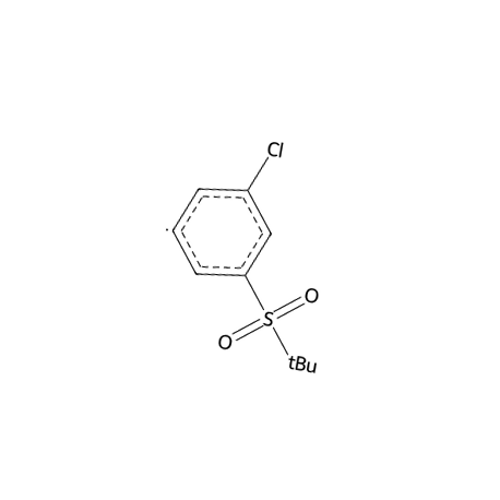 CC(C)(C)S(=O)(=O)c1c[c]cc(Cl)c1